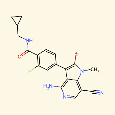 Cn1c(Br)c(-c2ccc(C(=O)NCC3CC3)c(F)c2)c2c(N)ncc(C#N)c21